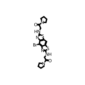 O=C(CNc1nc2c(Br)c3nc(NCC(=O)N4CCCC4)sc3cc2s1)N1CCCC1